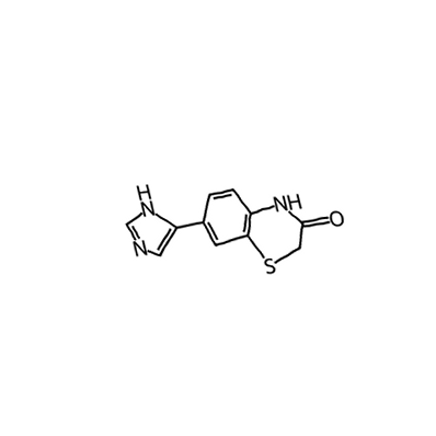 O=C1CSc2cc(-c3cnc[nH]3)ccc2N1